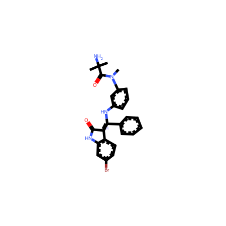 CN(C(=O)C(C)(C)N)c1cccc(N/C(=C2\C(=O)Nc3cc(Br)ccc32)c2ccccc2)c1